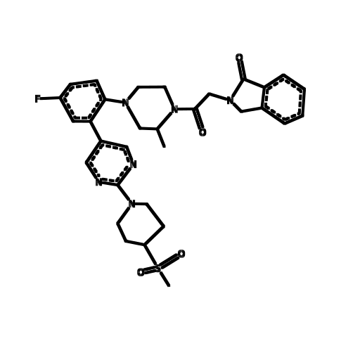 CC1CN(c2ccc(F)cc2-c2cnc(N3CCC(S(C)(=O)=O)CC3)nc2)CCN1C(=O)CN1Cc2ccccc2C1=O